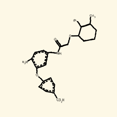 CC(C)C1C(C)CCCC1OCC(=O)Nc1ccc(N)c(Oc2ccc(C(=O)O)cc2)c1